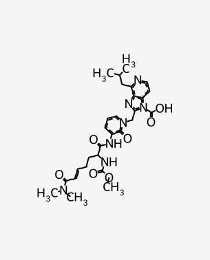 COC(=O)NC(CCC=CC(=O)N(C)C)C(=O)Nc1cccn(Cc2nc3c(CC(C)C)nccc3n2C(=O)O)c1=O